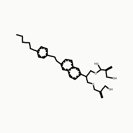 C=C(CO)COCC(COC(O)C(=C)CO)c1ccc2cc(CCc3ccc(CCCCC)cc3)ccc2c1